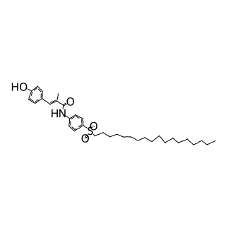 CCCCCCCCCCCCCCCCCCS(=O)(=O)c1ccc(NC(=O)C(C)=Cc2ccc(O)cc2)cc1